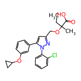 CCC(C)(OCc1cc(-c2cccc(OC3CC3)c2)n(-c2ccccc2Cl)n1)C(=O)O